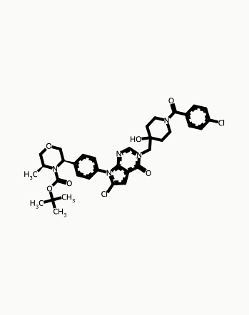 C[C@H]1COC[C@@H](c2ccc(-n3c(Cl)cc4c(=O)n(CC5(O)CCN(C(=O)c6ccc(Cl)cc6)CC5)cnc43)cc2)N1C(=O)OC(C)(C)C